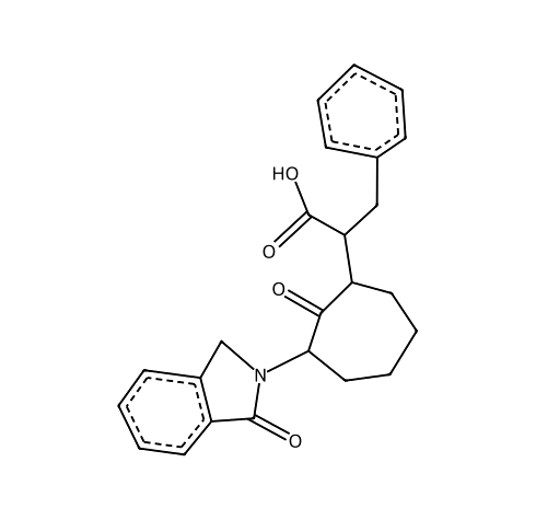 O=C(O)C(Cc1ccccc1)C1CCCCC(N2Cc3ccccc3C2=O)C1=O